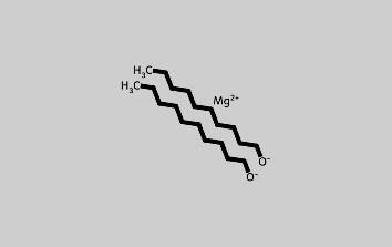 CCCCCCCCCC[O-].CCCCCCCCCC[O-].[Mg+2]